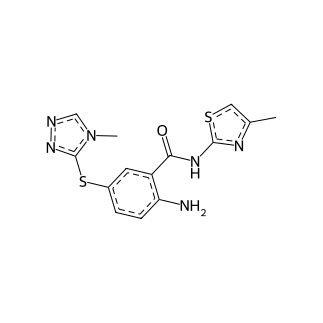 Cc1csc(NC(=O)c2cc(Sc3nncn3C)ccc2N)n1